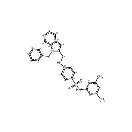 Cc1cc(C)nc(NS(=O)(=O)c2ccc(NCc3nc4ccccc4n3Cc3ccccc3)cc2)n1